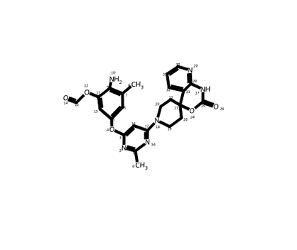 Cc1nc(Oc2cc(C)c(N)c(OC=O)c2)cc(N2CCC3(CC2)OC(=O)Nc2ncccc23)n1